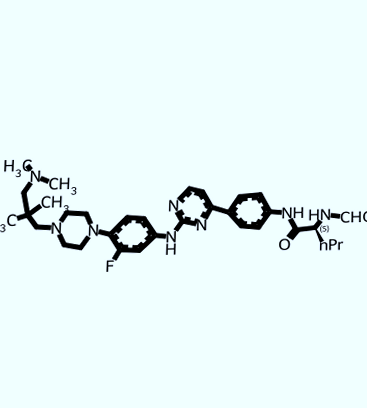 CCC[C@H](NC=O)C(=O)Nc1ccc(-c2ccnc(Nc3ccc(N4CCN(CC(C)(C)CN(C)C)CC4)c(F)c3)n2)cc1